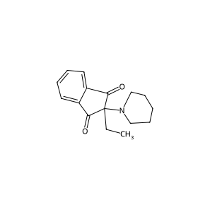 CCC1(N2CCCCC2)C(=O)c2ccccc2C1=O